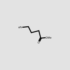 C[CH]CCCCC(=O)OC